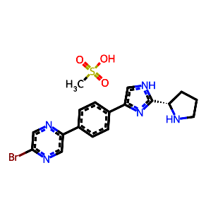 Brc1cnc(-c2ccc(-c3c[nH]c([C@@H]4CCCN4)n3)cc2)cn1.CS(=O)(=O)O